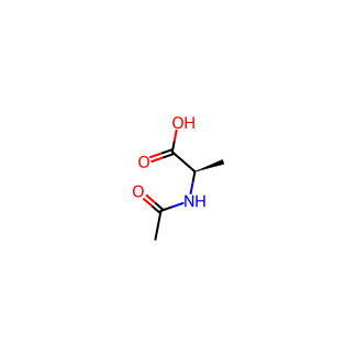 CC(=O)N[C@H](C)C(=O)O